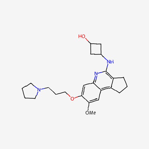 COc1cc2c3c(c(NC4CC(O)C4)nc2cc1OCCCN1CCCC1)CCC3